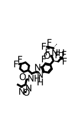 Cc1nonc1C(=O)N[C@H](c1nc2c(F)c([C@H](CC(F)(F)F)C(=O)N[C@@H](C)C(F)(F)F)ccc2[nH]1)C1CCC(F)(F)CC1